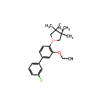 CC1(C)CB(c2ccc(-c3cccc(F)c3)cc2OCC#N)CC1(C)C